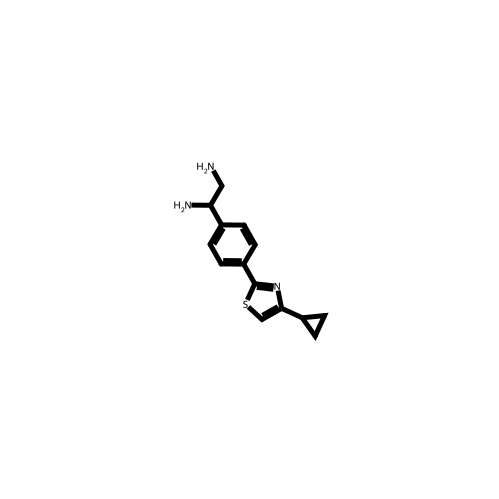 NCC(N)c1ccc(-c2nc(C3CC3)cs2)cc1